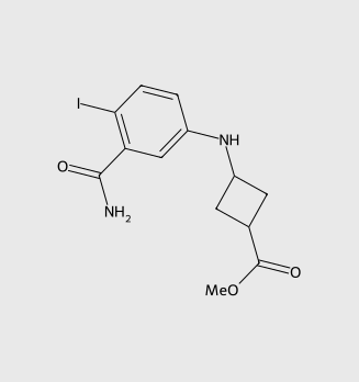 COC(=O)C1CC(Nc2ccc(I)c(C(N)=O)c2)C1